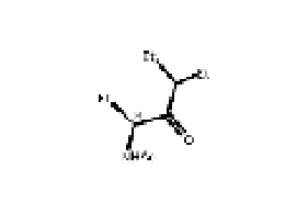 CCC(CC)C(=O)[C@H](CC)NC(C)=O